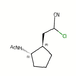 CC(=O)N[C@H]1CCC[C@@H]1CC(Cl)C#N